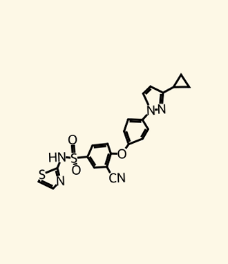 N#Cc1cc(S(=O)(=O)Nc2nccs2)ccc1Oc1ccc(-n2ccc(C3CC3)n2)cc1